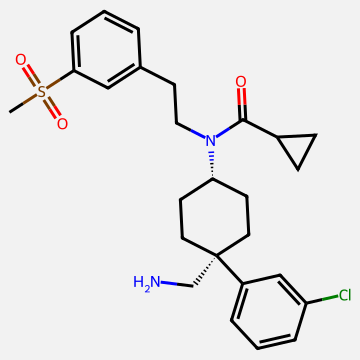 CS(=O)(=O)c1cccc(CCN(C(=O)C2CC2)[C@H]2CC[C@](CN)(c3cccc(Cl)c3)CC2)c1